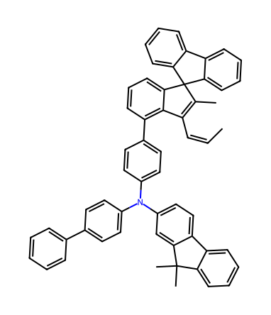 C/C=C\C1=C(C)C2(c3ccccc3-c3ccccc32)c2cccc(-c3ccc(N(c4ccc(-c5ccccc5)cc4)c4ccc5c(c4)C(C)(C)c4ccccc4-5)cc3)c21